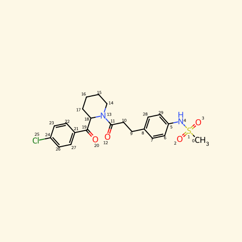 CS(=O)(=O)Nc1ccc(CCC(=O)N2CCCCC2C(=O)c2ccc(Cl)cc2)cc1